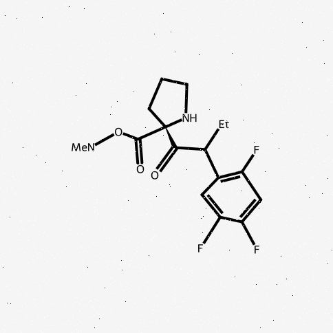 CCC(C(=O)[C@@]1(C(=O)ONC)CCCN1)c1cc(F)c(F)cc1F